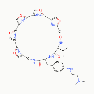 CC(C)C1NOCc2nc(co2)-c2nc(co2)-c2nc(co2)-c2nc(co2)-c2nc(co2)CNC(=O)C(Cc2ccc(NCCN(C)C)cc2)NC1=O